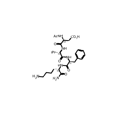 CC(=O)N[C@@H](CC(=O)O)C(=O)N[C@H](C(=O)N[C@@H](Cc1ccccc1)C(=O)N[C@@H](CCCCN)C(N)=O)C(C)C